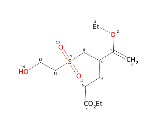 C=C(OCC)C(CCC(=O)OCC)CS(=O)(=O)CCO